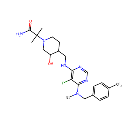 CCN(Cc1ccc(C(F)(F)F)cc1)c1ncnc(NCC2CCN(C(C)(C)C(N)=O)CC2O)c1F